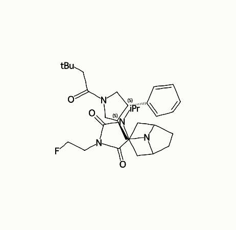 CC(C)N1C(=O)N(CCF)C(=O)C12CC1CCC(C2)N1C[C@H]1CN(C(=O)CC(C)(C)C)C[C@@H]1c1ccccc1